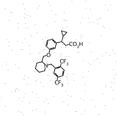 O=C(O)CC(c1cccc(OCC2CCCCN2Cc2cc(C(F)(F)F)ccc2C(F)(F)F)c1)C1CC1